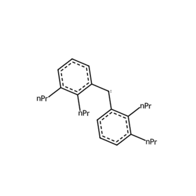 CCCc1cccc([C]c2cccc(CCC)c2CCC)c1CCC